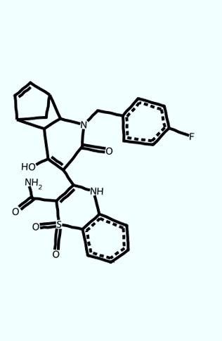 NC(=O)C1=C(C2=C(O)C3C4C=CC(C4)C3N(Cc3ccc(F)cc3)C2=O)Nc2cc[c]cc2S1(=O)=O